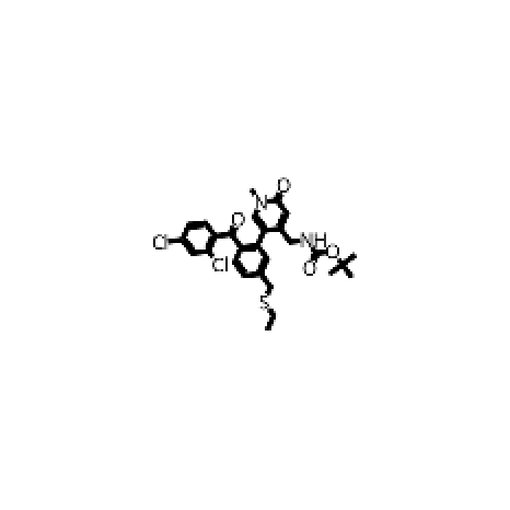 CCSCc1ccc(C(=O)c2ccc(Cl)cc2Cl)c(-c2cn(C)c(=O)cc2CNC(=O)OC(C)(C)C)c1